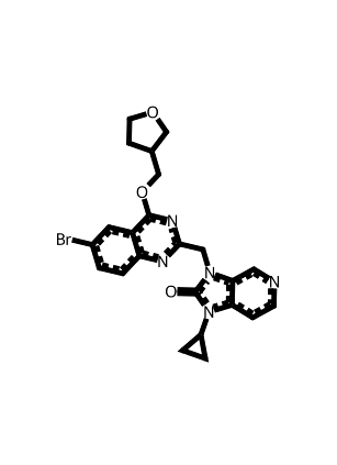 O=c1n(Cc2nc(OCC3CCOC3)c3cc(Br)ccc3n2)c2cnccc2n1C1CC1